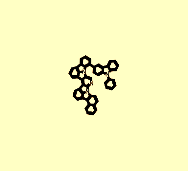 c1ccc(-n2c3ccccc3c3cc(-c4cccc5c6cccc7c8c9c%10cccc%11c%12c%13ccccc%13ccc%12n(c9ncc8n(c45)c67)c%11%10)ccc32)cc1